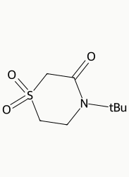 CC(C)(C)N1CCS(=O)(=O)CC1=O